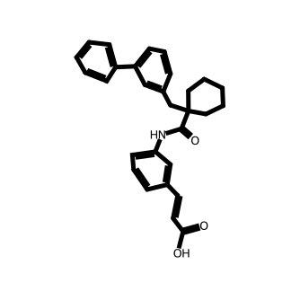 O=C(O)/C=C/c1cccc(NC(=O)C2(Cc3cccc(-c4ccccc4)c3)CCCCC2)c1